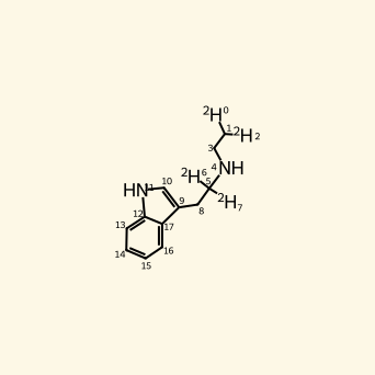 [2H]C([2H])CNC([2H])([2H])Cc1c[nH]c2ccccc12